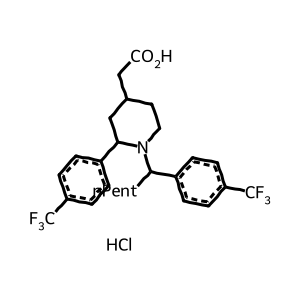 CCCCCC(c1ccc(C(F)(F)F)cc1)N1CCC(CC(=O)O)CC1c1ccc(C(F)(F)F)cc1.Cl